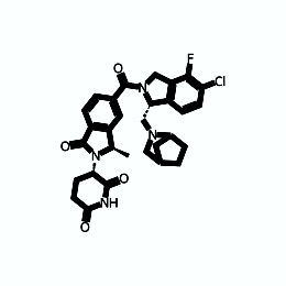 C[C@@H]1c2cc(C(=O)N3Cc4c(ccc(Cl)c4F)[C@@H]3CN3CC4CCC3C4)ccc2C(=O)N1[C@H]1CCC(=O)NC1=O